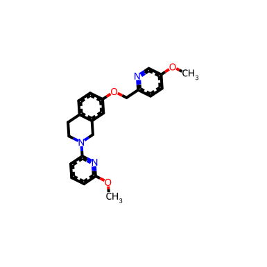 COc1ccc(COc2ccc3c(c2)CN(c2cccc(OC)n2)CC3)nc1